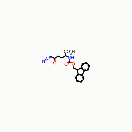 [N-]=[N+]=CC(=O)CC[C@H](NC(=O)OCC1c2ccccc2-c2ccccc21)C(=O)O